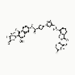 O=C1CCC(N2Cc3c(NCc4cn(C5CN(C(=O)Nc6ccc7c(F)c(N8CC(=O)NS8(=O)=O)c(O)cc7c6)C5)nn4)cccc3C2=O)C(=O)N1